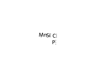 [C].[Mn].[P].[Si]